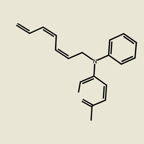 C=C/C=C\C=C/CN(C(/C=C\C(=C)C)=C/C)c1ccccc1